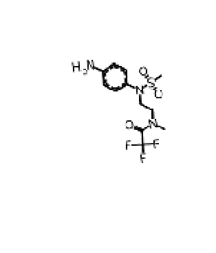 CN(CCN(c1ccc(N)cc1)S(C)(=O)=O)C(=O)C(F)(F)F